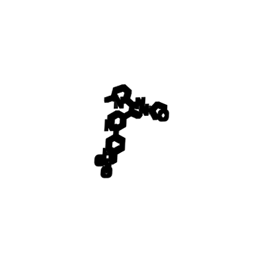 Cc1cccc(-c2nn([C@@H]3CCOC3)cc2-c2ccnc(-c3ccc(C[SH](=O)=O)cc3)c2)n1